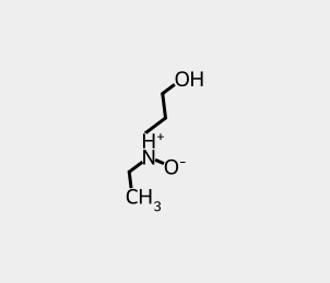 CC[NH+]([O-])CCCO